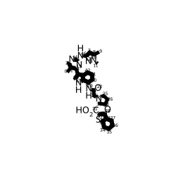 Cc1cnc(Nc2cc(C)n(C)n2)nc1-c1c[nH]c2c(NC(=O)CN3CC[C@H](Oc4c(C(=O)O)sc5ccccc45)C3)cccc12